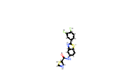 O=C(Nc1ccc2sc(-c3ccc(F)c(F)c3)nc2c1)c1cncs1